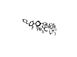 CC(C)(C)[Si](C)(C)Oc1ccc(-c2ccc(C=O)cc2F)cc1